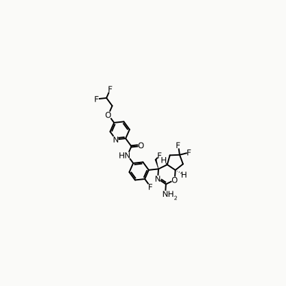 NC1=N[C@](CF)(c2cc(NC(=O)c3ccc(OCC(F)F)cn3)ccc2F)[C@H]2CC(F)(F)C[C@H]2O1